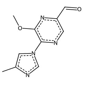 COc1nc(C=O)cnc1-n1cnc(C)c1